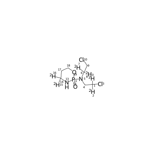 [2H]C([2H])(Cl)CN(C([2H])([2H])CCl)P1(=O)NC([2H])([2H])CCO1